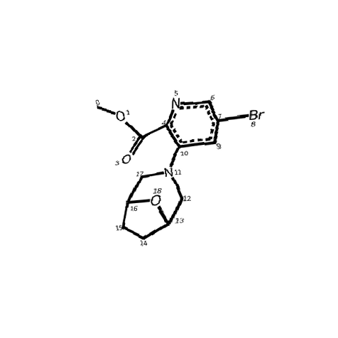 COC(=O)c1ncc(Br)cc1N1CC2CCC(C1)O2